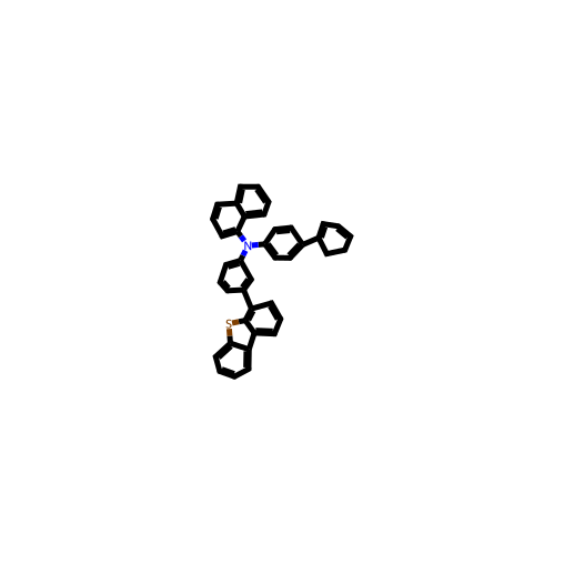 C1=CCCC(c2ccc(N(c3cccc(-c4cccc5c4sc4ccccc45)c3)c3cccc4ccccc34)cc2)=C1